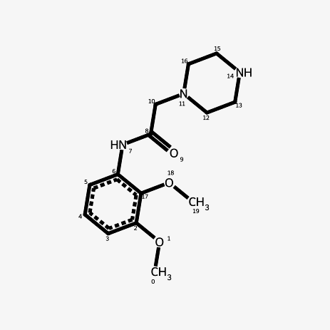 COc1cccc(NC(=O)CN2CCNCC2)c1OC